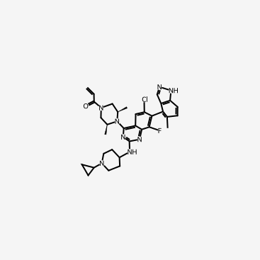 C=CC(=O)N1C[C@@H](C)N(c2nc(NC3CCN(C4CC4)CC3)nc3c(F)c(-c4c(C)ccc5[nH]ncc45)c(Cl)cc23)[C@@H](C)C1